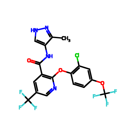 Cc1n[nH]cc1NC(=O)c1cc(C(F)(F)F)cnc1Oc1ccc(OC(F)(F)F)cc1Cl